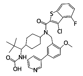 COc1ccc(-c2cccnc2)cc1CN(C(=O)c1sc2cccc(F)c2c1Cl)C1CCC(C(NC(=O)O)C(C)(C)C)CC1